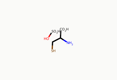 NC(CS)C(=O)O.O=S(=O)(O)O